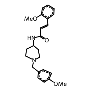 COc1ccc(CN2CCC(NC(=O)C=Cc3ccccc3OC)CC2)cc1